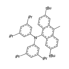 Cc1c2cc(C(C)(C)C)ccc2c(N(c2cc(C(C)C)cc(C(C)C)c2)c2cc(C(C)C)cc(C(C)C)c2)c2cc(C(C)(C)C)ccc12